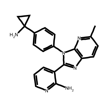 Cc1ccc2nc(-c3cccnc3N)n(-c3ccc(C4(N)CC4)cc3)c2n1